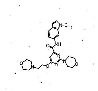 Cn1ccc2ccc(NC(=O)c3cc(OCCN4CCOCC4)nc(N4CCOCC4)n3)cc21